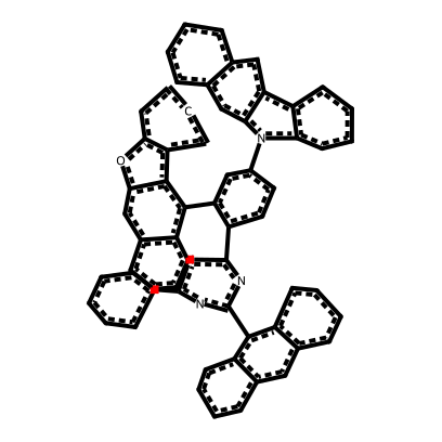 c1ccc(-c2nc(-c3ccc(-n4c5ccccc5c5cc6ccccc6cc54)cc3-c3c4ccccc4cc4oc5ccccc5c34)nc(-c3c4ccccc4cc4ccccc34)n2)cc1